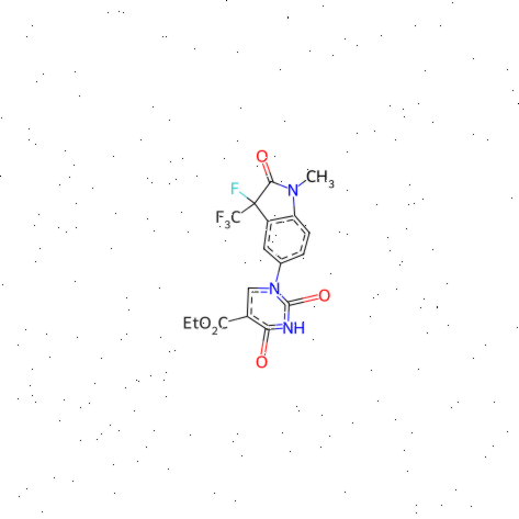 CCOC(=O)c1cn(-c2ccc3c(c2)C(F)(C(F)(F)F)C(=O)N3C)c(=O)[nH]c1=O